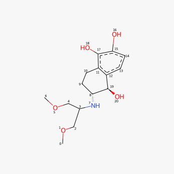 COCC(COC)N[C@@H]1CCc2c(ccc(O)c2O)[C@H]1O